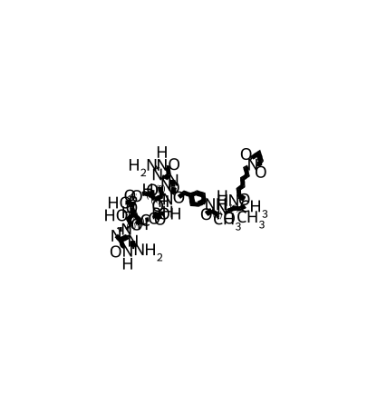 CC(C)[C@H](NC(=O)CCCCCN1C(=O)C=CC1=O)C(=O)N[C@@H](C)C(=O)Nc1ccc(COC(=O)NC2[C@H]3OP(=O)(O)OC[C@H]4O[C@@H](n5cnc6c(=O)[nH]c(N)nc65)[C@@H](O)[C@H]4OP(=O)(O)OC[C@H]3O[C@H]2n2cnc3c(=O)[nH]c(N)nc32)cc1